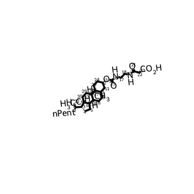 CCCCC[C@@H](C)[C@H]1CC[C@H]2[C@@H]3CC=C4C[C@@H](OC(=O)NCCNC(=O)CC(=O)O)CC[C@]4(C)[C@H]3CC[C@]12C